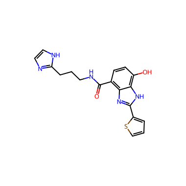 O=C(NCCCc1ncc[nH]1)c1ccc(O)c2[nH]c(-c3cccs3)nc12